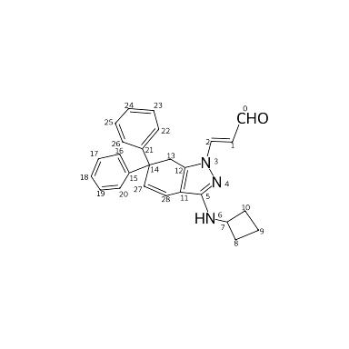 O=CC=Cn1nc(NC2CCC2)c2c1CC(c1ccccc1)(c1ccccc1)C=C2